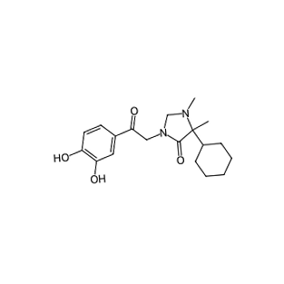 CN1CN(CC(=O)c2ccc(O)c(O)c2)C(=O)C1(C)C1CCCCC1